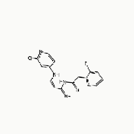 N=C(/C=C\Nc1ccnc(Cl)c1)NC(=O)Cc1ccccc1F